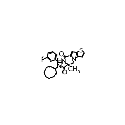 CC1(C(=O)NC2CCCCCCC2)Cn2c(cc3sccc32)C(=O)N1Cc1cccc(F)c1